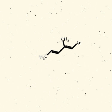 CC=C/C(C)=C/C(C)=O